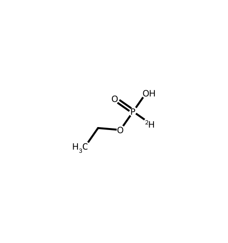 [2H]P(=O)(O)OCC